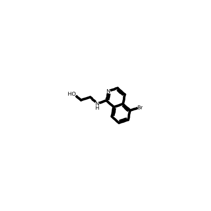 OCCNc1nccc2c(Br)cccc12